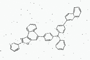 c1ccc(-c2nc3c(cc(-c4ccc(N(c5ccccc5)c5ccc(-c6ccc7ccccc7c6)cc5)cc4)c4ccccc43)o2)cc1